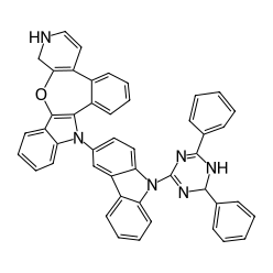 C1=CC2=C(CN1)Oc1c(n(-c3ccc4c(c3)c3ccccc3n4C3=NC(c4ccccc4)NC(c4ccccc4)=N3)c3ccccc13)-c1ccccc12